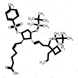 CCCC1(C(C/C=C/[C@@H]2[C@@H](C/C=C\CCCC(=O)O)[C@H](OS(=O)(=O)c3ccc(C)cc3)C[C@H]2O[Si](C)(C)C(C)(C)C)O[Si](C)(C)C(C)(C)C)CCC1